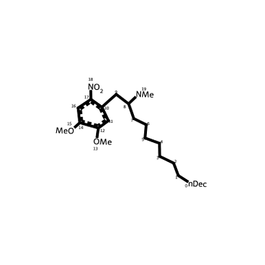 CCCCCCCCCCCCCCCCCC(Cc1cc(OC)c(OC)cc1[N+](=O)[O-])NC